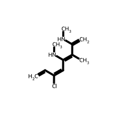 C=C/C(Cl)=C\C(NC)=C(/C)C(=C)NC